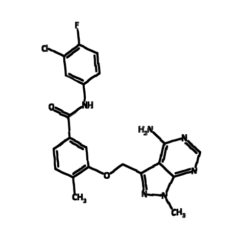 Cc1ccc(C(=O)Nc2ccc(F)c(Cl)c2)cc1OCc1nn(C)c2ncnc(N)c12